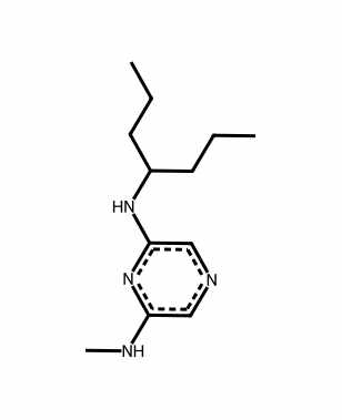 CCCC(CCC)Nc1cncc(NC)n1